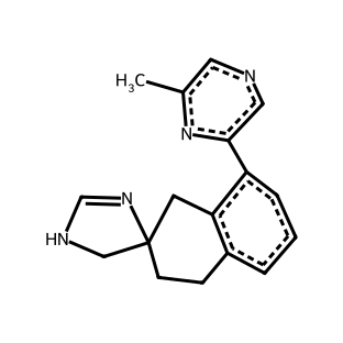 Cc1cncc(-c2cccc3c2CC2(CC3)CNC=N2)n1